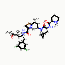 CCN1CCCC[C@@H]1C(=O)N[C@@H](CC1CC1)C(=O)N(C)[C@H](C[C@@H](OC(C)=O)c1nc(C(=O)N[C@@H](Cc2cc(F)cc(F)c2)C[C@H](C)C(=O)OC)cs1)C(C)C